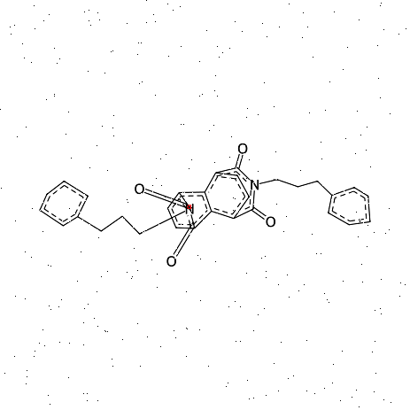 O=c1c2ccc(c(=O)n1CCCc1ccccc1)c1c3ccc(c(=O)n(CCCc4ccccc4)c3=O)c21